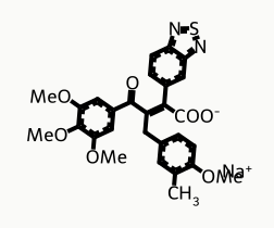 COc1ccc(C/C(C(=O)c2cc(OC)c(OC)c(OC)c2)=C(\C(=O)[O-])c2ccc3nsnc3c2)cc1C.[Na+]